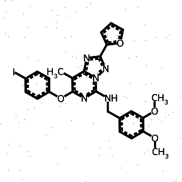 COc1ccc(CNc2nc(Oc3ccc(I)cc3)c(C)c3nc(-c4ccco4)nn23)cc1OC